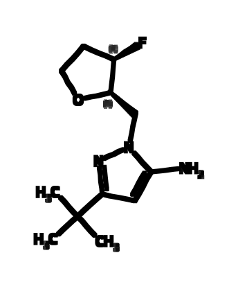 CC(C)(C)c1cc(N)n(C[C@H]2OCC[C@H]2F)n1